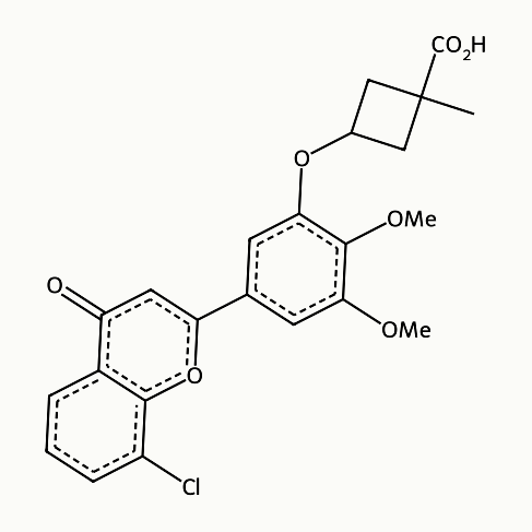 COc1cc(-c2cc(=O)c3cccc(Cl)c3o2)cc(OC2CC(C)(C(=O)O)C2)c1OC